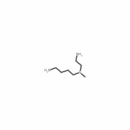 CN(CCN)CCCCN